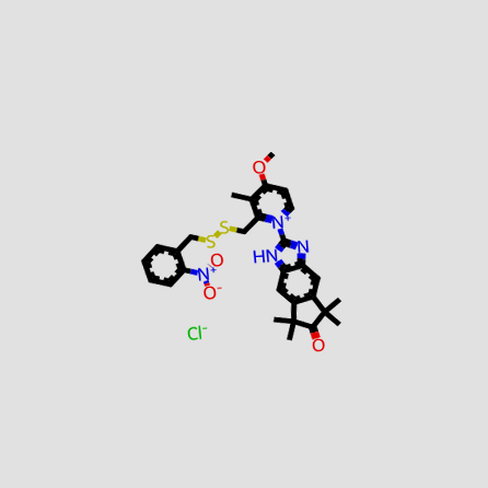 COc1cc[n+](-c2nc3cc4c(cc3[nH]2)C(C)(C)C(=O)C4(C)C)c(CSSCc2ccccc2[N+](=O)[O-])c1C.[Cl-]